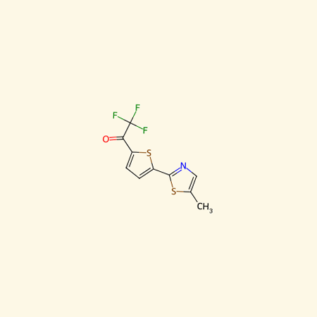 Cc1cnc(-c2ccc(C(=O)C(F)(F)F)s2)s1